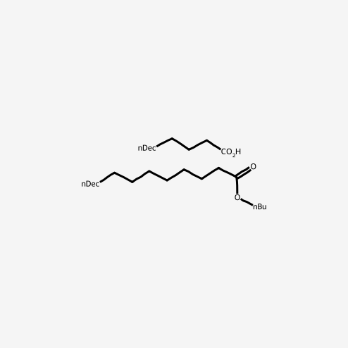 CCCCCCCCCCCCCC(=O)O.CCCCCCCCCCCCCCCCCC(=O)OCCCC